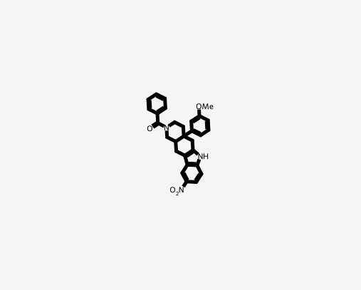 COc1cccc(C23CCN(C(=O)c4ccccc4)CC2Cc2c([nH]c4ccc([N+](=O)[O-])cc24)C3)c1